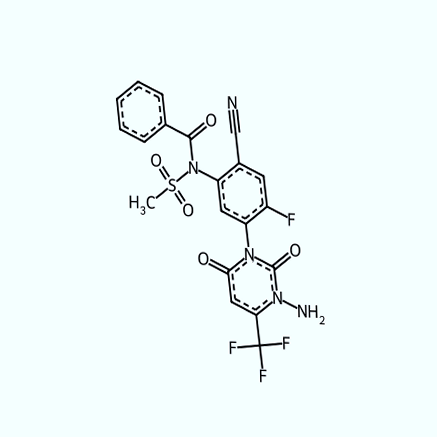 CS(=O)(=O)N(C(=O)c1ccccc1)c1cc(-n2c(=O)cc(C(F)(F)F)n(N)c2=O)c(F)cc1C#N